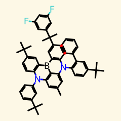 Cc1cc2c3c(c1)N(c1ccc(C(C)(C)C)cc1-c1ccccc1)c1ccc(C(C)(C)c4cc(F)cc(F)c4)cc1B3c1cc(C(C)(C)C)ccc1N2c1cccc(C(C)(C)C)c1